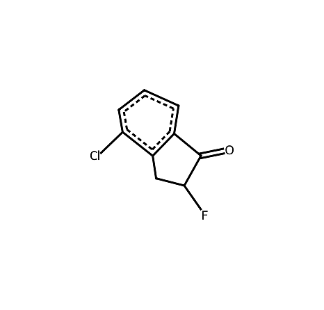 O=C1c2cccc(Cl)c2CC1F